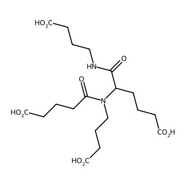 O=C(O)CCCNC(=O)C(CCCC(=O)O)N(CCCC(=O)O)C(=O)CCCC(=O)O